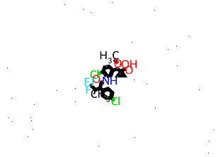 CCOC(c1ccc(Cl)c(NC(=O)C(c2ccc(Cl)cc2)[C@@H](C)C(F)(F)F)c1)C1(C(=O)O)CC1